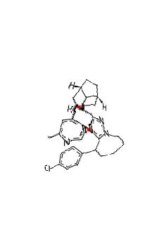 Cc1cc(N2C[C@H]3CC[C@@H](C2)C3Nc2nc3n(n2)CCCCC3c2ccc(Cl)cc2)ncn1